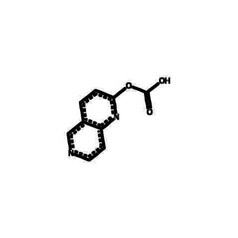 O=C(O)Oc1ccc2cnccc2n1